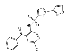 O=C(c1ccccc1)c1cc(Cl)ccc1NS(=O)(=O)c1ccc(-c2ccon2)s1